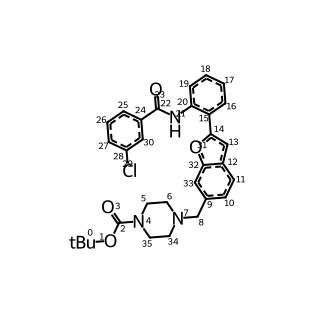 CC(C)(C)OC(=O)N1CCN(Cc2ccc3cc(-c4ccccc4NC(=O)c4cccc(Cl)c4)oc3c2)CC1